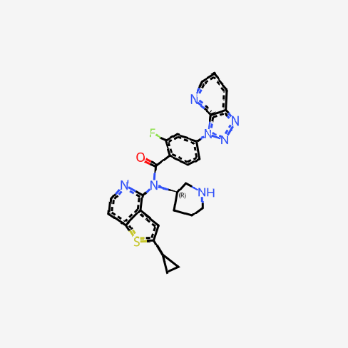 O=C(c1ccc(-n2nnc3cccnc32)cc1F)N(c1nccc2sc(C3CC3)cc12)[C@@H]1CCCNC1